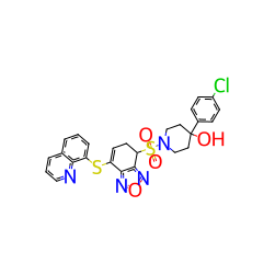 O=S(=O)(C1CC=C(Sc2cccc3cccnc23)c2nonc21)N1CCC(O)(c2ccc(Cl)cc2)CC1